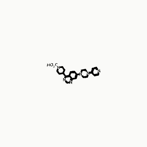 O=C(O)N1CCC(c2ncnc3cc(N4CCN(c5ccncc5)CC4)ccc23)CC1